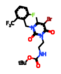 Cc1c(Br)c(=O)n(CCNC(=O)OC(C)(C)C)c(=O)n1Cc1c(F)cccc1C(F)(F)F